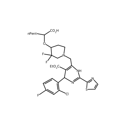 CCCCCC(OC1CCN(CC2=C(C(=O)OCC)C(c3ccc(F)cc3Cl)N=C(c3nccs3)N2)CC1(F)F)C(=O)O